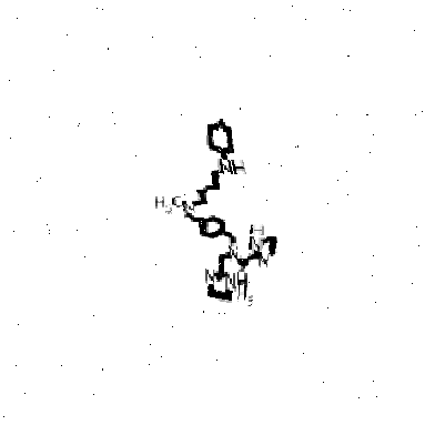 CC(c1ncc[nH]1)N(Cc1ccc(CN(C)CCCCNC2CCCCC2)cc1)Cc1ncc[nH]1